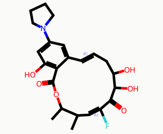 CC1/C=C(/F)C(=O)C(O)C(O)C/C=C/c2cc(N3CCCC3)cc(O)c2C(=O)OC1C